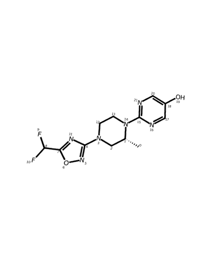 C[C@@H]1CN(c2noc(C(F)F)n2)CCN1c1ncc(O)cn1